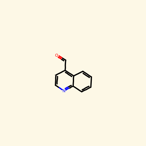 O=Cc1[c]cnc2ccccc12